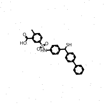 Cc1ccc(S(=O)(=O)Nc2ccc(C(S)c3ccc(-c4ccccc4)cc3)cc2)cc1C(=O)O